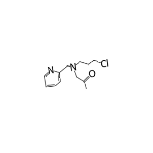 CC(=O)CN(CCCCl)Cc1ccccn1